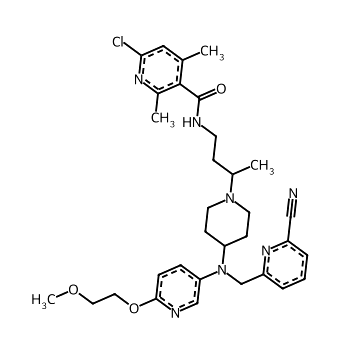 COCCOc1ccc(N(Cc2cccc(C#N)n2)C2CCN(C(C)CCNC(=O)c3c(C)cc(Cl)nc3C)CC2)cn1